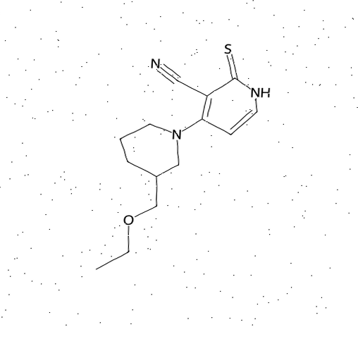 CCOCC1CCCN(c2cc[nH]c(=S)c2C#N)C1